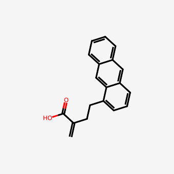 C=C(CCc1cccc2cc3ccccc3cc12)C(=O)O